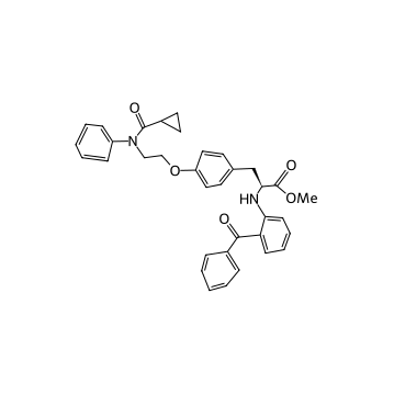 COC(=O)[C@H](Cc1ccc(OCCN(C(=O)C2CC2)c2ccccc2)cc1)Nc1ccccc1C(=O)c1ccccc1